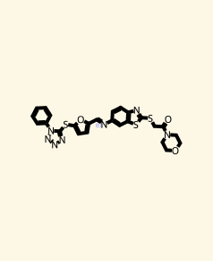 O=C(CSc1nc2ccc(/N=C/c3ccc(Sc4nnnn4-c4ccccc4)o3)cc2s1)N1CCOCC1